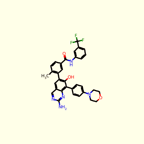 Cc1ccc(C(=O)Nc2cccc(C(F)(F)F)c2)cc1-c1cc2cnc(N)nc2c(-c2ccc(N3CCOCC3)cc2)c1O